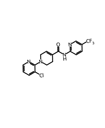 O=C(Nc1ccc(C(F)(F)F)cn1)C1=CCN(c2ncccc2Cl)CC1